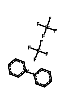 F[B-](F)(F)F.F[B-](F)(F)F.c1cc[n+](-[n+]2ccccc2)cc1